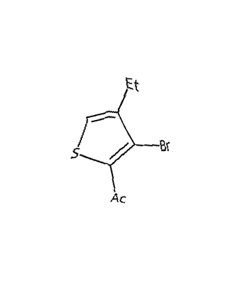 CCc1csc(C(C)=O)c1Br